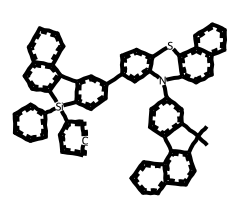 CC1(C)c2cc(N3c4cc(-c5ccc6c(c5)-c5c(ccc7ccccc57)[Si]6(c5ccccc5)c5ccccc5)ccc4Sc4c3ccc3ccccc43)ccc2-c2c1ccc1ccccc21